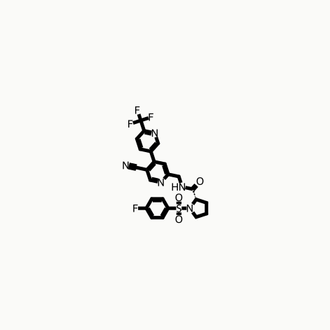 N#Cc1cnc(CNC(=O)[C@@H]2CCCN2S(=O)(=O)c2ccc(F)cc2)cc1-c1ccc(C(F)(F)F)nc1